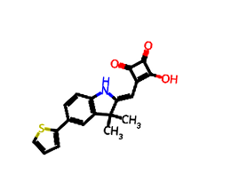 CC1(C)C(=Cc2c(O)c(=O)c2=O)Nc2ccc(-c3cccs3)cc21